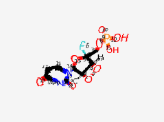 C[C@@]12OO[C@@H]1[C@@](F)(COP(=O)(O)O)O[C@H]2n1ccc(=O)[nH]c1=O